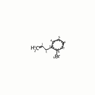 C=CCc1cc[c]cc1Br